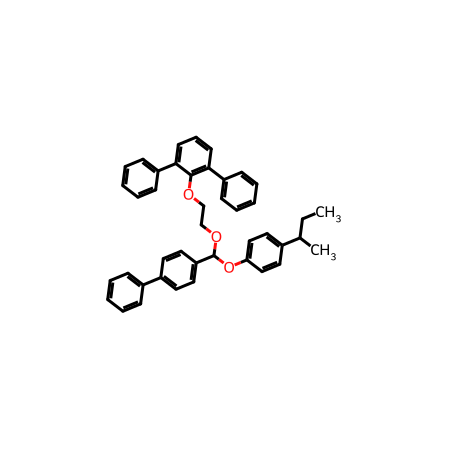 CCC(C)c1ccc(OC(OCCOc2c(-c3ccccc3)cccc2-c2ccccc2)c2ccc(-c3ccccc3)cc2)cc1